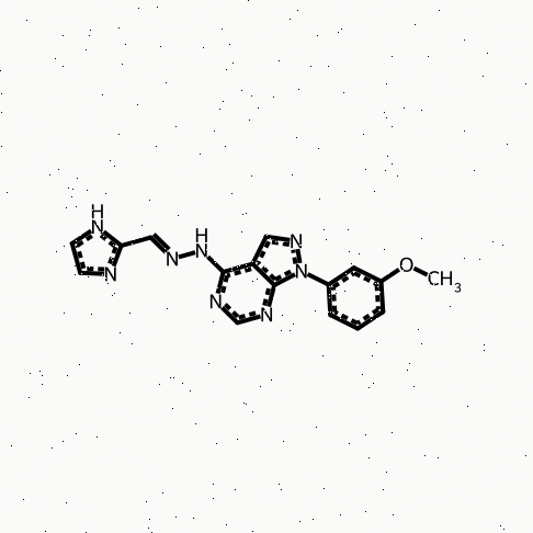 COc1cccc(-n2ncc3c(N/N=C/c4ncc[nH]4)ncnc32)c1